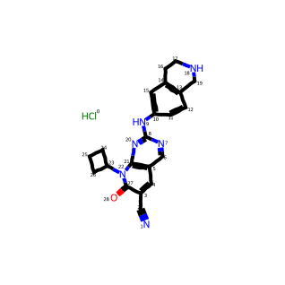 Cl.N#Cc1cc2cnc(Nc3ccc4c(c3)CCNC4)nc2n(C2CCC2)c1=O